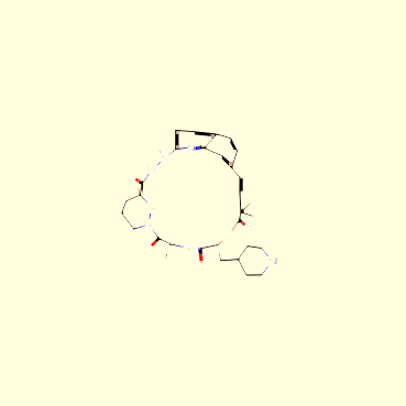 C[C@@H]1NC(=O)[C@H](CC2CCNCC2)OC(=O)C(C)(C)/C=C/c2ccc3ccc(nc3c2)N(C)NC(=O)[C@@H]2CCCN(N2)C1=O